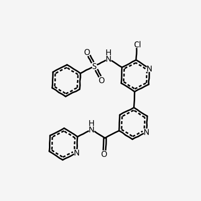 O=C(Nc1ccccn1)c1cncc(-c2cnc(Cl)c(NS(=O)(=O)c3ccccc3)c2)c1